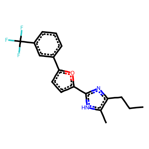 CCCc1nc(-c2ccc(-c3cccc(C(F)(F)F)c3)o2)[nH]c1C